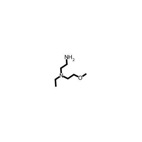 CCN(CCN)CCOC